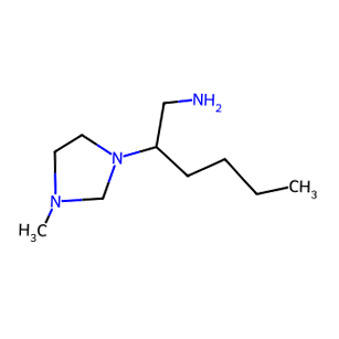 CCCCC(CN)N1CCN(C)C1